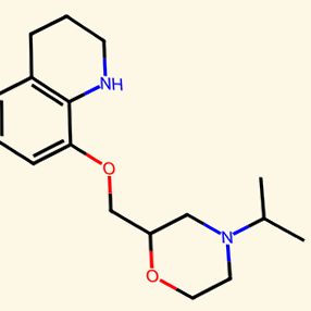 CC(C)N1CCOC(COc2cccc3c2NCCC3)C1